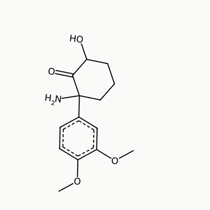 COc1ccc(C2(N)CCCC(O)C2=O)cc1OC